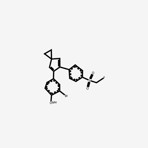 COc1ccc(C2=CC3(C=C2c2ccc(S(=O)(=O)CF)cc2)CC3)cc1Br